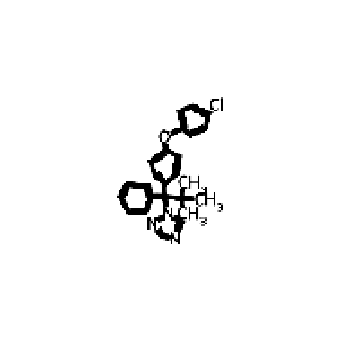 CC(C)(C)C(c1ccccc1)(c1ccc(Oc2ccc(Cl)cc2)cc1)n1cncn1